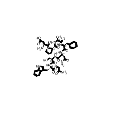 C[C@H](NC(=O)[C@@H]1CCCN1C(=O)[C@@H](N)CC(=O)O)C(=O)N[C@@H](Cc1ccccc1)C(=O)N[C@@H](CC(N)=O)C(=O)N[C@@H](CO)C(=O)N[C@@H](Cc1c[nH]c2ccccc12)C(=O)NCC(N)=O